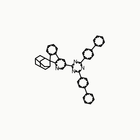 c1ccc(-c2ccc(-c3nc(-c4ccc(-c5ccccc5)cc4)nc(-c4cnc5c(c4)-c4ccccc4C54C5CC6CC(C5)CC4C6)n3)cc2)cc1